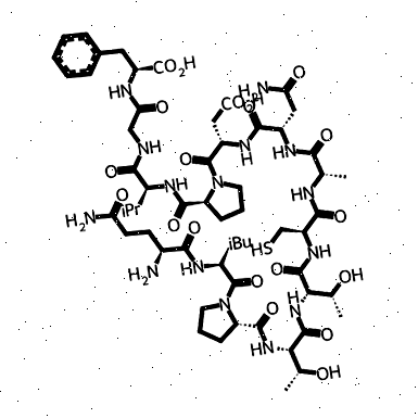 CC[C@H](C)[C@H](NC(=O)[C@@H](N)CCC(N)=O)C(=O)N1CCC[C@H]1C(=O)N[C@H](C(=O)N[C@H](C(=O)N[C@@H](CS)C(=O)N[C@@H](C)C(=O)N[C@@H](CC(N)=O)C(=O)N[C@@H](CC(=O)O)C(=O)N1CCC[C@H]1C(=O)N[C@H](C(=O)NCC(=O)N[C@@H](Cc1ccccc1)C(=O)O)C(C)C)[C@@H](C)O)[C@@H](C)O